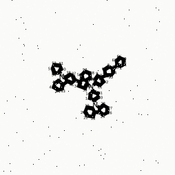 c1ccc(-c2ccc(-c3ccc(N(c4ccc(-n5c6ccccc6c6ccccc65)cc4)c4ccc(-c5ccc6c(c5)c5ccccc5n6-c5ccccc5)c5ccccc45)cc3)cc2)cc1